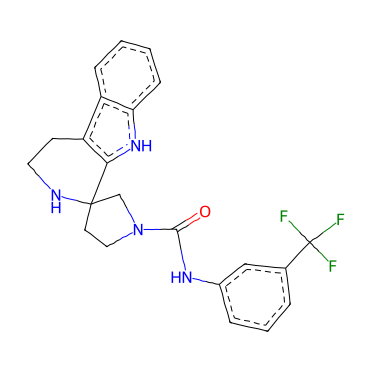 O=C(Nc1cccc(C(F)(F)F)c1)N1CCC2(C1)NCCc1c2[nH]c2ccccc12